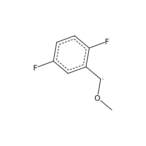 CO[CH]c1cc(F)ccc1F